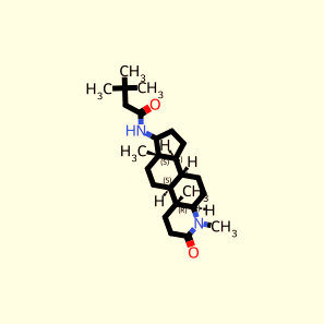 CN1C(=O)CC[C@]2(C)[C@H]3CC[C@]4(C)C(NC(=O)CC(C)(C)C)CC[C@H]4[C@@H]3CC[C@@H]12